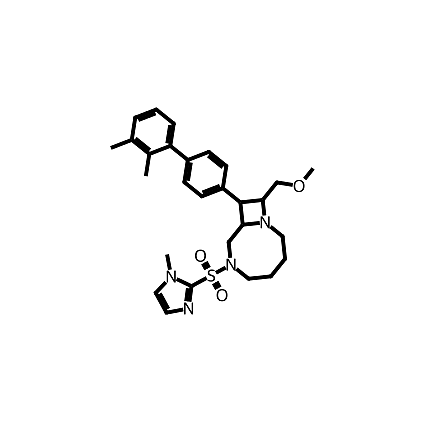 COCC1C(c2ccc(-c3cccc(C)c3C)cc2)C2CN(S(=O)(=O)c3nccn3C)CCCCN12